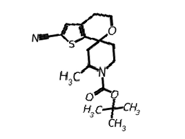 CC1CC2(CCN1C(=O)OC(C)(C)C)OCCc1cc(C#N)sc12